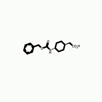 O=C(O)C[C@H]1CC[C@H](NC(=O)OCc2ccccc2)CC1